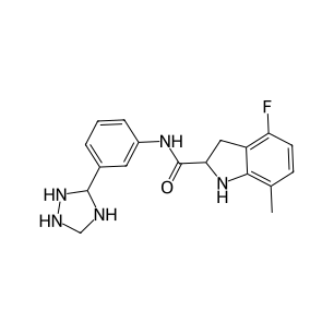 Cc1ccc(F)c2c1NC(C(=O)Nc1cccc(C3NCNN3)c1)C2